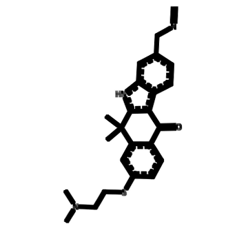 C=NCc1ccc2c3c([nH]c2c1)C(C)(C)c1cc(SCCN(C)C)ccc1C3=O